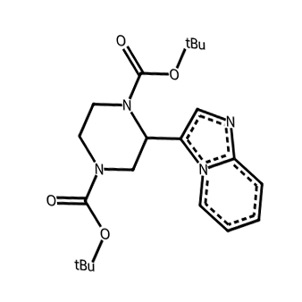 CC(C)(C)OC(=O)N1CCN(C(=O)OC(C)(C)C)C(c2cnc3ccccn23)C1